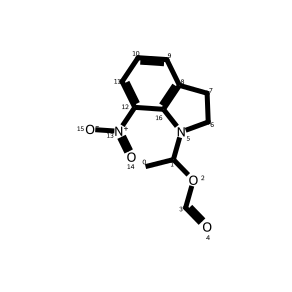 CC(OC=O)N1CCc2cccc([N+](=O)[O-])c21